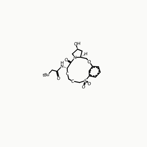 CC(C)(C)CC(=O)N[C@H]1CCCCS(=O)(=O)c2cccc(c2)OC[C@@H]2C[C@H](O)CN2C1=O